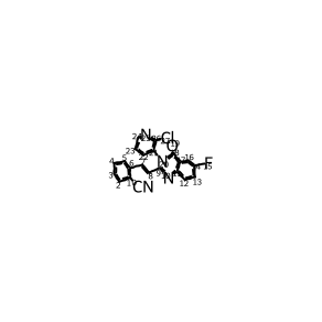 N#Cc1ccccc1/C=C/c1nc2ccc(F)cc2c(=O)n1-c1cccnc1Cl